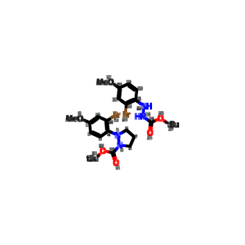 COc1ccc(N2CCCN2C(=O)OC(C)(C)C)c(Br)c1.COc1ccc(NNC(=O)OC(C)(C)C)c(Br)c1